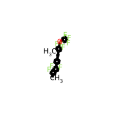 Cc1cc(F)c2c(F)c(-c3ccc(C#Cc4cc(F)c(C(F)(F)Oc5cc(F)c(F)c(F)c5)cc4C)cc3)c(F)cc2c1